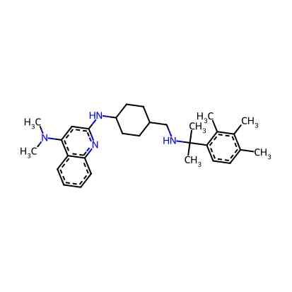 Cc1ccc(C(C)(C)NCC2CCC(Nc3cc(N(C)C)c4ccccc4n3)CC2)c(C)c1C